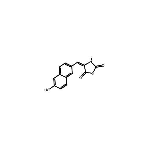 O=C1NC(=Cc2ccc3cc(O)ccc3c2)C(=O)S1